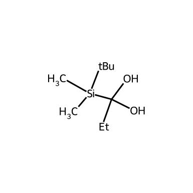 CCC(O)(O)[Si](C)(C)C(C)(C)C